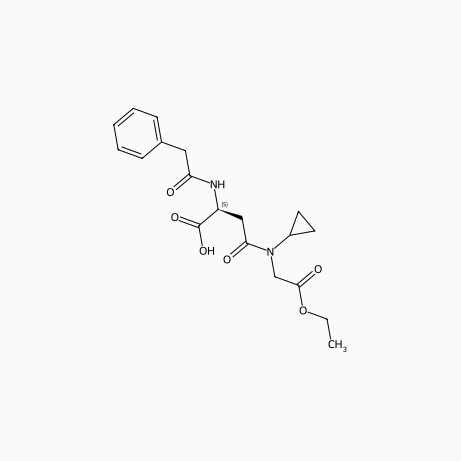 CCOC(=O)CN(C(=O)C[C@H](NC(=O)Cc1ccccc1)C(=O)O)C1CC1